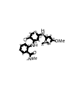 CNC(=O)c1ccccc1Nc1cc(Nc2cc(OC)nn2C)ncc1Cl